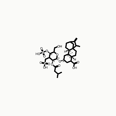 C=C1C2CC[C@@H]3C(CC[C@@H]4C(C(=O)O)C[C@@H](O[C@H]5OC(CO)[C@H](OS(=O)(=O)O)C(CS(=O)(=O)O)[C@@H]5OC(=O)CC(C)C)C[C@]43C)(C2)C1C